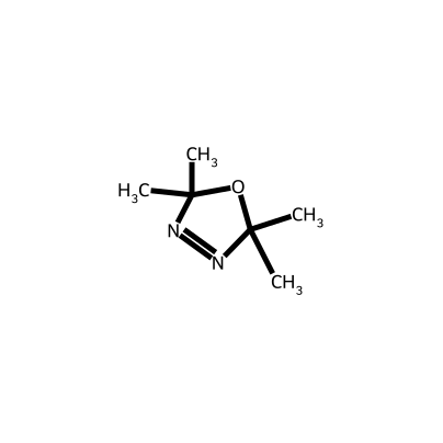 CC1(C)N=NC(C)(C)O1